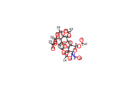 CC(=O)OCC1OC(N=C=O)C(OC(C)=O)C(OC(C)=O)C1OC1OC(COC(C)=O)C(OC(C)=O)C(OC(C)=O)C1OC(C)=O